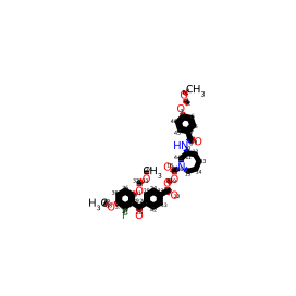 COCOc1ccc(C(=O)NC2CCCCN(C(=O)OOC(=O)c3ccc(C(=O)c4c(OCOC)ccc(OC)c4F)cc3)C2)cc1